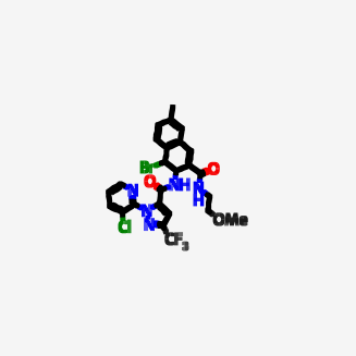 COCCNC(=O)C1=Cc2cc(C)ccc2C(Br)C1NC(=O)c1cc(C(F)(F)F)nn1-c1ncccc1Cl